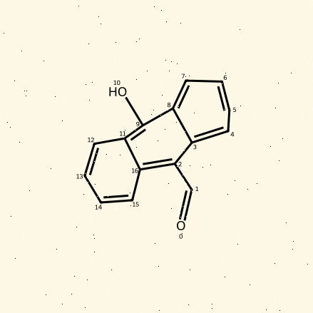 O=Cc1c2ccccc2c(O)c2ccccc12